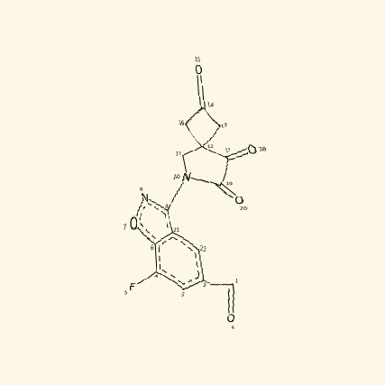 O=Cc1cc(F)c2onc(N3CC4(CC(=O)C4)C(=O)C3=O)c2c1